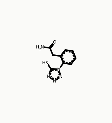 NC(=O)Cc1ccccc1-n1nnnc1S